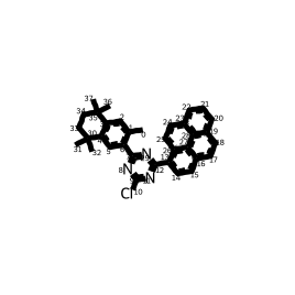 Cc1cc2c(cc1-c1nc(Cl)nc(-c3ccc4ccc5cccc6ccc3c4c56)n1)C(C)(C)CCC2(C)C